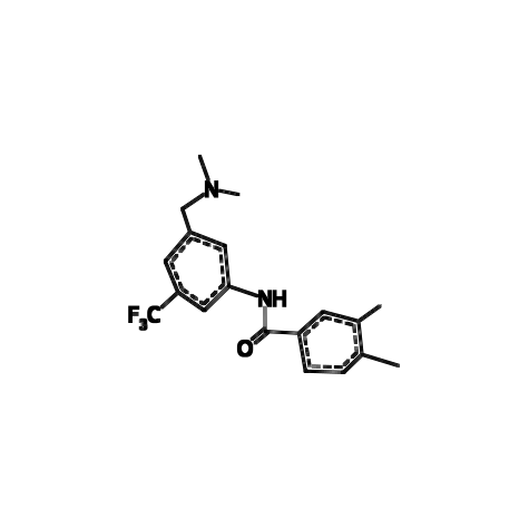 Cc1ccc(C(=O)Nc2cc(CN(C)C)cc(C(F)(F)F)c2)cc1C